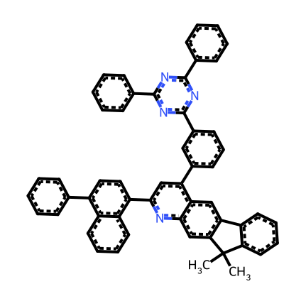 CC1(C)c2ccccc2-c2cc3c(-c4cccc(-c5nc(-c6ccccc6)nc(-c6ccccc6)n5)c4)cc(-c4ccc(-c5ccccc5)c5ccccc45)nc3cc21